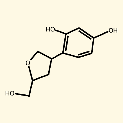 OCC1CC(c2ccc(O)cc2O)CO1